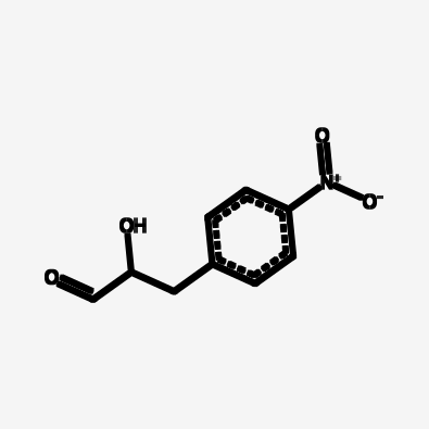 O=CC(O)Cc1ccc([N+](=O)[O-])cc1